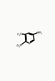 Nc1cnc([N+](=O)[O-])c(C(F)(F)F)c1